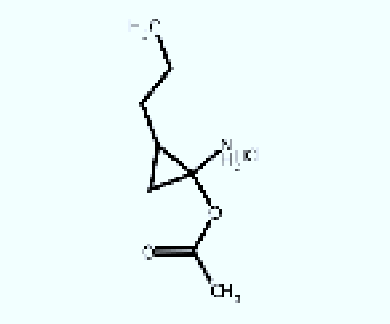 CCCC1CC1(N)OC(C)=O.Cl